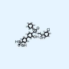 O=C1[C@H](CC[C@H](O)c2cccc(Cl)c2)[C@@H](c2ccc(-c3ccc(P(=O)(O)O)cc3)cc2O)N1c1ccccc1